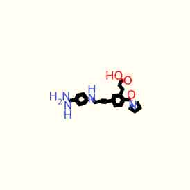 N=C(N)c1ccc(NCC#Cc2ccc(C(=O)N3CCCC3)c(CCC(=O)O)c2)cc1